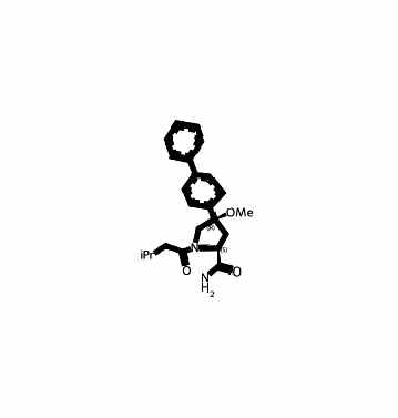 CO[C@@]1(c2ccc(-c3ccccc3)cc2)C[C@@H](C(N)=O)N(C(=O)CC(C)C)C1